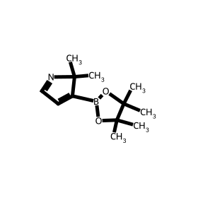 CC1(C)N=CC=C1B1OC(C)(C)C(C)(C)O1